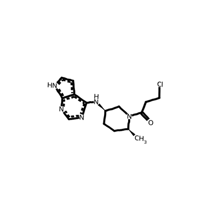 C[C@H]1CC[C@@H](Nc2ncnc3[nH]ccc23)CN1C(=O)CCCl